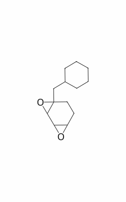 C1CCC(CC23CCC4OC4C2O3)CC1